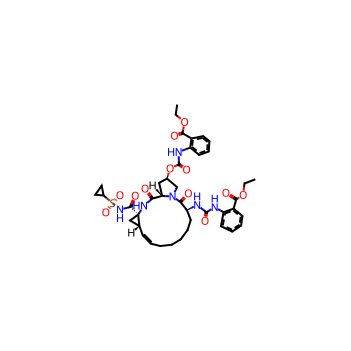 CCOC(=O)c1ccccc1NC(=O)N[C@H]1CCCCC/C=C\[C@@H]2C[C@@]2(C(=O)NS(=O)(=O)C2CC2)NC(=O)[C@@H]2C[C@@H](OC(=O)Nc3ccccc3C(=O)OCC)CN2C1=O